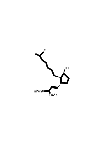 CCCCCC(/C=C/[C@H]1CC[C@H](O)[C@@H]1CCCCCC(C)F)OC